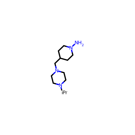 CC(C)N1CCN(CC2CCN(N)CC2)CC1